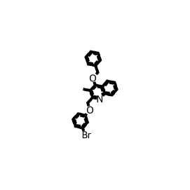 Cc1c(COc2cccc(Br)c2)nc2ccccc2c1OCc1ccccc1